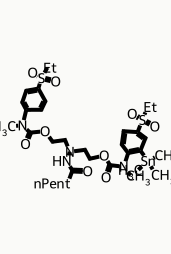 CCCCCC(=O)NN(CCOC(=O)N(C)c1ccc(S(=O)(=O)CC)cc1)CCOC(=O)N(C)c1ccc(S(=O)(=O)CC)c[c]1[Sn]([CH3])([CH3])[CH3]